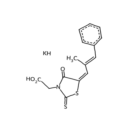 CC(=C\c1ccccc1)/C=C1/SC(=S)N(CC(=O)O)C1=O.[KH]